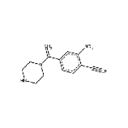 C#Cc1ccc(C(=C)N2CCNCC2)cc1[N+](=O)[O-]